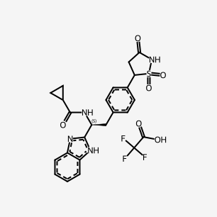 O=C(O)C(F)(F)F.O=C1CC(c2ccc(C[C@H](NC(=O)C3CC3)c3nc4ccccc4[nH]3)cc2)S(=O)(=O)N1